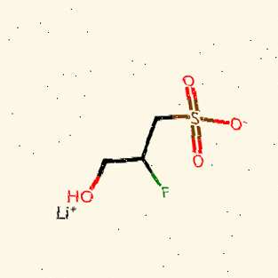 O=S(=O)([O-])CC(F)CO.[Li+]